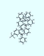 CC(C)(C)c1ccc2c(c1)N(c1ccccc1)c1cccc3c1B2c1cccc2c1N3c1ccccc1[Si]2(c1ccccc1)c1ccccc1